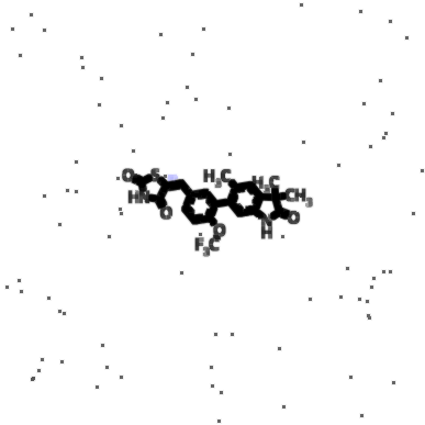 Cc1cc2c(cc1-c1cc(/C=C3/SC(=O)NC3=O)ccc1OC(F)(F)F)NC(=O)C2(C)C